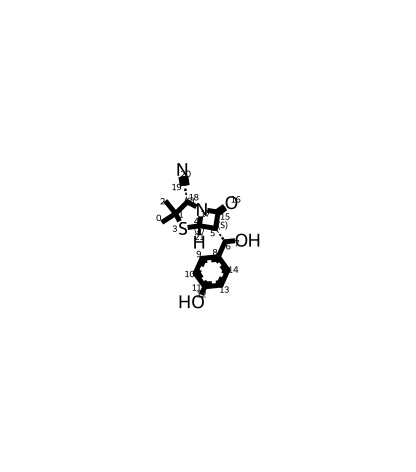 CC1(C)S[C@H]2[C@@H](C(O)c3ccc(O)cc3)C(=O)N2[C@H]1C#N